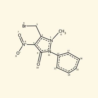 Cn1c(CBr)c([N+](=O)[O-])c(=O)n1-c1ccccc1